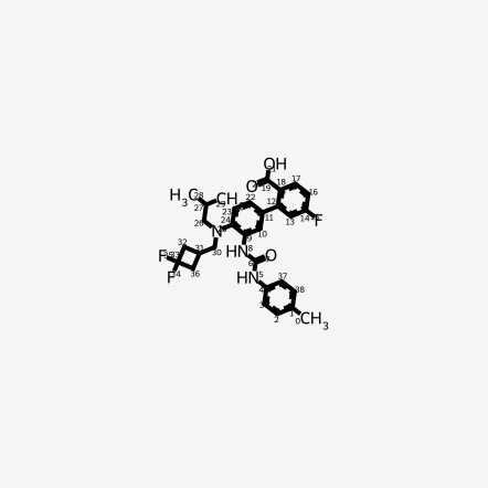 Cc1ccc(NC(=O)Nc2cc(-c3cc(F)ccc3C(=O)O)ccc2N(CC(C)C)CC2CC(F)(F)C2)cc1